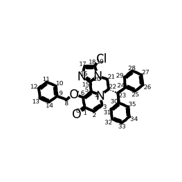 O=c1ccn2c(c1OCc1ccccc1)-c1ncc(Cl)n1C[C@@H]2C(c1ccccc1)c1ccccc1